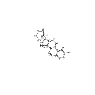 Cc1ccc(/C=C\c2cccc3c4c([nH]c23)C2CCN(CC2)C4)cn1